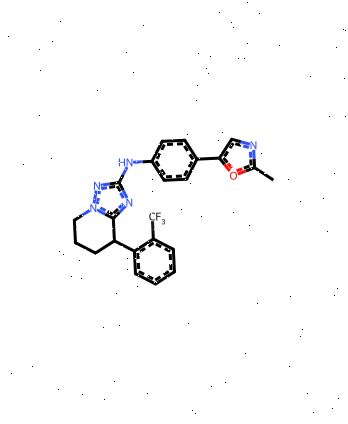 Cc1ncc(-c2ccc(Nc3nc4n(n3)CCCC4c3ccccc3C(F)(F)F)cc2)o1